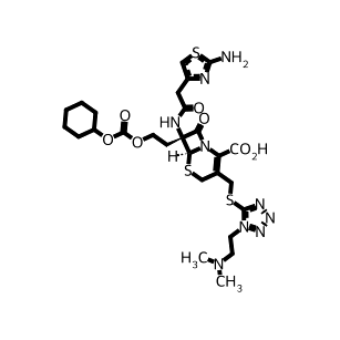 CN(C)CCn1nnnc1SCC1=C(C(=O)O)N2C(=O)[C@@](CCOC(=O)OC3CCCCC3)(NC(=O)Cc3csc(N)n3)[C@@H]2SC1